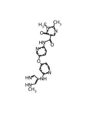 CN/C=C(\C=N)Nc1cc(Oc2ccc(NC(=O)c3cnc(C)n(C)c3=O)nc2)ccn1